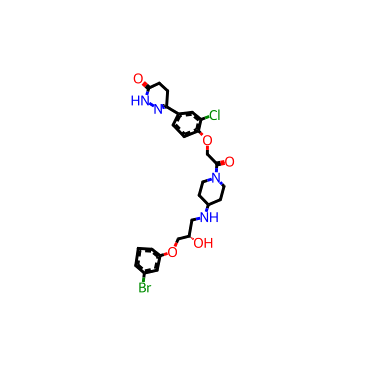 O=C1CCC(c2ccc(OCC(=O)N3CCC(NC[C@H](O)COc4cccc(Br)c4)CC3)c(Cl)c2)=NN1